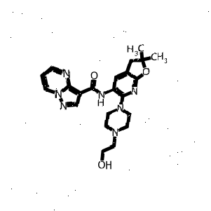 CC1(C)Cc2cc(NC(=O)c3cnn4cccnc34)c(N3CCN(CCO)CC3)nc2O1